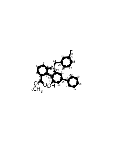 COC(=O)c1cccc2c1c1c(O)cc(-c3ccccc3)cc1n2Cc1cccc(F)c1